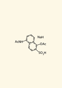 CC(=O)Nc1cccc2c(OC(C)=O)c(S(=O)(=O)O)ccc12.[NaH]